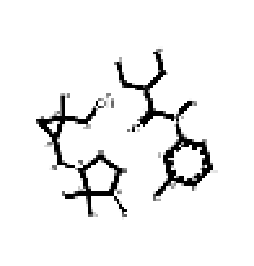 CCC(CC)C(=O)N(C)c1cccc(C)c1.C[C@@H]1CC[C@H](CC2CC2(C)CO)C1(C)C